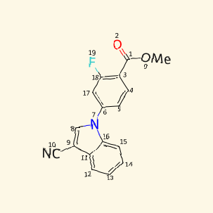 COC(=O)c1ccc(-n2cc(C#N)c3ccccc32)cc1F